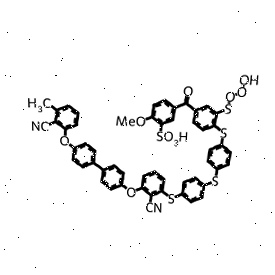 COc1ccc(C(=O)c2ccc(Sc3ccc(Sc4ccc(Sc5cccc(Oc6ccc(-c7ccc(Oc8cccc(C)c8C#N)cc7)cc6)c5C#N)cc4)cc3)c(SOOO)c2)cc1S(=O)(=O)O